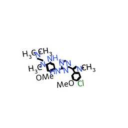 COc1cc2c(-c3ncnc(Nc4cc(N)c(N(C)CCN(C)C)cc4OC)n3)cn(C)c2cc1Cl